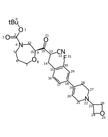 CC(C)(C)OC(=O)N1CCCO[C@H](C(=O)C(C#N)Cc2ccc(C3=CCN(C4COC4)CC3)cc2F)C1